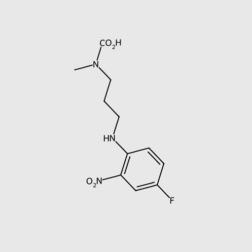 CN(CCCNc1ccc(F)cc1[N+](=O)[O-])C(=O)O